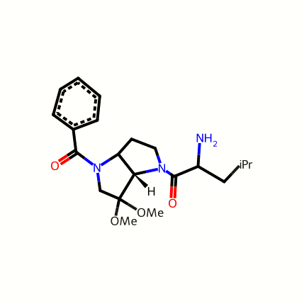 COC1(OC)CN(C(=O)c2ccccc2)C2CCN(C(=O)C(N)CC(C)C)[C@@H]21